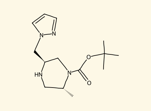 C[C@@H]1CN[C@@H](Cn2cccn2)CN1C(=O)OC(C)(C)C